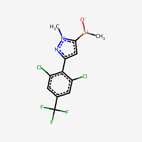 Cn1nc(-c2c(Cl)cc(C(F)(F)F)cc2Cl)cc1[S+](C)[O-]